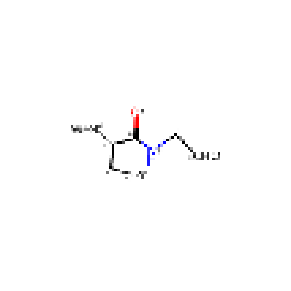 CN[C@@H](CC(C)C)C(=O)NCC=O